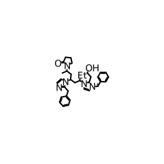 CCC(CC(CC(C)N1CCCC1=O)n1ccnc1Cc1ccccc1)n1cc[n+](Cc2ccccc2)c1CCO